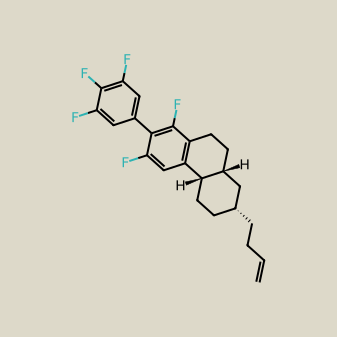 C=CCC[C@@H]1CC[C@@H]2c3cc(F)c(-c4cc(F)c(F)c(F)c4)c(F)c3CC[C@@H]2C1